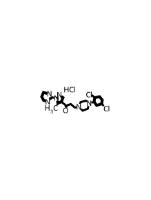 Cc1c(C(=O)CCN2CCN(c3cc(Cl)ccc3Cl)CC2)cnn1-c1ncccn1.Cl